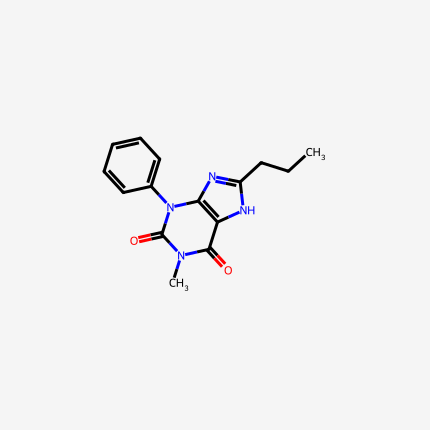 CCCc1nc2c([nH]1)c(=O)n(C)c(=O)n2-c1ccccc1